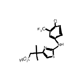 CC(C)(CC(=O)O)c1csc(Nc2ccc(Cl)c(C(F)(F)F)c2)n1